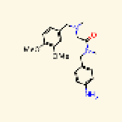 COc1ccc(CN(C)CC(=O)N(C)Cc2ccc(N)cc2)cc1OC